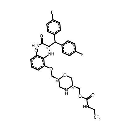 NC(=O)[C@@H](Nc1c(Cl)cccc1OC[C@@H]1CN[C@H](COC(=O)NCC(F)(F)F)CO1)C(c1ccc(F)cc1)c1ccc(F)cc1